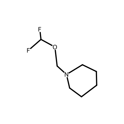 FC(F)OCN1CCCCC1